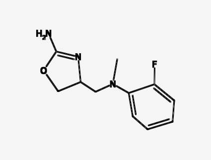 CN(CC1COC(N)=N1)c1ccccc1F